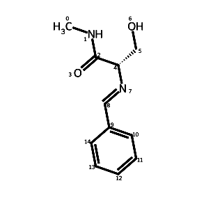 CNC(=O)[C@H](CO)/N=C/c1ccccc1